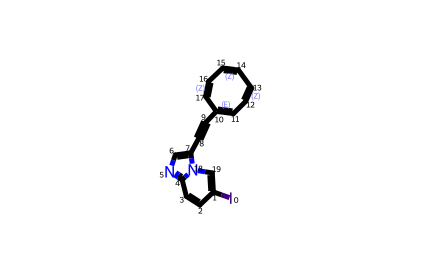 Ic1ccc2ncc(C#CC3=C/C=C\C=C/C=C\3)n2c1